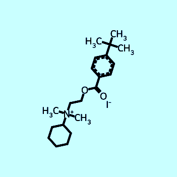 CC(C)(C)c1ccc(C(=O)OCC[N+](C)(C)C2CCCCC2)cc1.[I-]